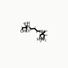 CCC(CC)(CO)NCCCNC(C)(CN)CN